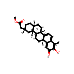 COC(=O)C[C@]1(C)CC[C@]2(C)CC[C@]3(C)C4=CC=C5C(=CC(=O)C(O)=C5C)[C@]4(C)CC[C@@]3(C)[C@@H]2C1